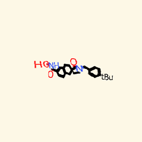 CC(C)(C)c1ccc(CN2CC[C@@]3(CCc4cc(C(=O)NO)ccc4C3)C2=O)cc1